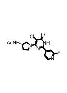 CC(=O)N[C@H]1CCN(c2nc(-c3ccnc(F)c3)[nH]c(=O)c2Cl)C1